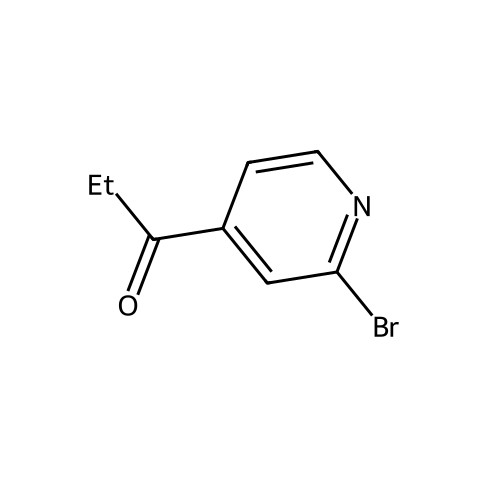 CCC(=O)c1ccnc(Br)c1